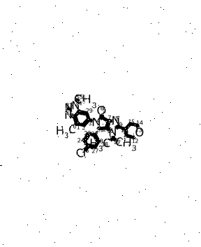 Cc1cc(N2C(=O)c3nc(C4CCOCC4)n(C(C)C)c3[C@@H]2c2ccc(Cl)cc2)cc2c1nnn2C